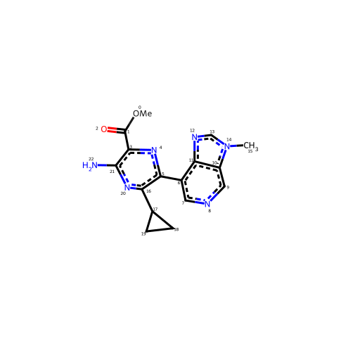 COC(=O)c1nc(-c2cncc3c2ncn3C)c(C2CC2)nc1N